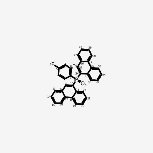 O=P(c1ccc(F)cc1F)(c1cc2ccccc2c2ccccc12)c1cc2ccccc2c2ccccc12